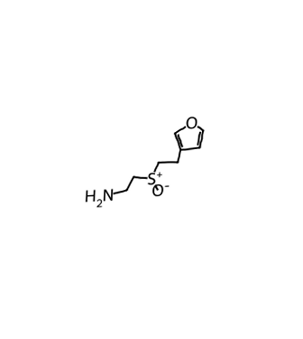 NCC[S+]([O-])CCc1ccoc1